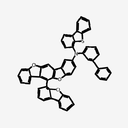 c1ccc(-c2cccc(N(c3ccc4oc5c(-c6cccc7c6oc6ccccc67)c6c(cc5c4c3)oc3ccccc36)c3cccc4c3sc3ccccc34)c2)cc1